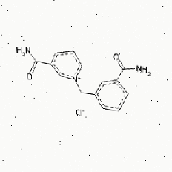 NC(=O)c1cccc(C[n+]2cccc(C(N)=O)c2)c1.[Cl-]